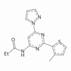 CCC(=O)Nc1cc(-n2cccn2)nc(-c2sccc2C)n1